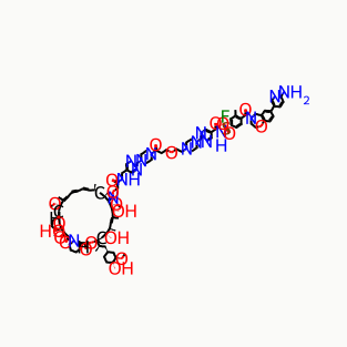 CO[C@H]1C[C@@H]2CC[C@@H](C)[C@@](O)(O2)C(=O)C(=O)N2CCCC[C@H]2C(=O)O[C@H]([C@H](C)C[C@@H]2CC[C@@H](O)[C@H](OC)C2)C[C@@H](O)[C@H](C)/C=C(\C)[C@@H](O)[C@@H](OC)/C(=N/OCC(=O)NCc2cnc(N3CCN(C(=O)CCOCCN4CCN(c5ncc(C(=O)NS(=O)(=O)c6ccc(C(=O)N7CCOc8ccc(-c9ccc(N)nc9)cc8C7)c(C)c6F)cn5)CC4)CC3)nc2)[C@H](C)C[C@H](C)/C=C/C=C/C=C/1C